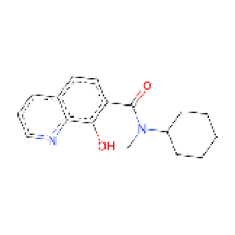 CN(C(=O)c1ccc2cccnc2c1O)C1CCCCC1